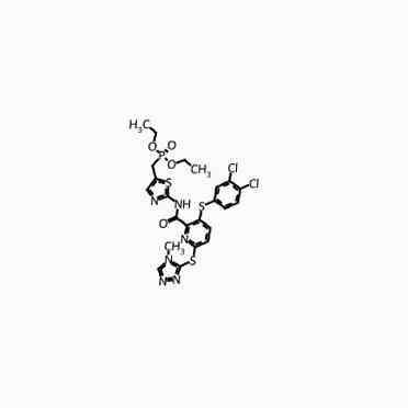 CCOP(=O)(Cc1cnc(NC(=O)c2nc(Sc3nncn3C)ccc2Sc2ccc(Cl)c(Cl)c2)s1)OCC